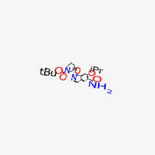 CC(C)Oc1cc2c(O[C@@H]3CCCN(C(=O)OC(C)(C)C)C3)nccc2cc1C(N)=O